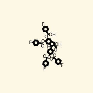 O=C(Oc1cc2c(cc1OC(O)c1ccc(F)cc1)C[C@@]1(O)COc3c(ccc(OC(=O)c4ccc(F)cc4)c3OC(=O)c3ccc(F)cc3)[C@@H]21)c1ccc(F)cc1